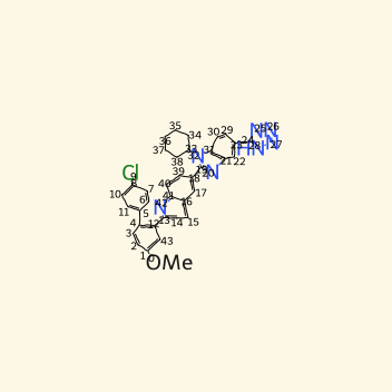 COc1ccc(-c2ccc(Cl)cc2)c(-c2ccc3cc(-c4nc5cc(-c6nnn[nH]6)ccc5n4C4CCCCC4)ccc3n2)c1